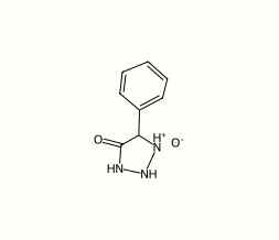 O=C1NN[NH+]([O-])C1c1ccccc1